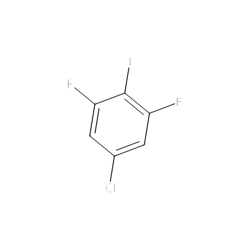 Fc1cc(Cl)cc(F)c1I